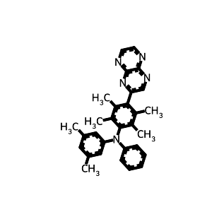 Cc1cc(C)cc(N(c2ccccc2)c2c(C)c(C)c(-c3cnc4nccnc4n3)c(C)c2C)c1